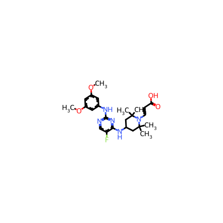 COc1cc(Nc2ncc(F)c(NC3CC(C)(C)N(/C=C/C(=O)O)C(C)(C)C3)n2)cc(OC)c1